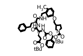 Cc1ccc(OCC2CCN(C(=O)OC(C)(C)C)C2)cc1CNC(=O)[C@H](CCc1ccccc1)NC(=O)[C@H](CCC(=O)OC(C)(C)C)NC(=O)OCc1ccccc1